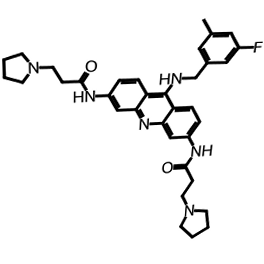 Cc1cc(F)cc(CNc2c3ccc(NC(=O)CCN4CCCC4)cc3nc3cc(NC(=O)CCN4CCCC4)ccc23)c1